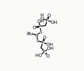 CCC(C)N(SP(=O)(O)CP(=O)(O)O)SP(=O)(O)CP(=O)(O)O